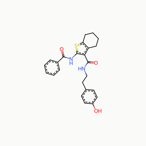 O=C(Nc1sc2c(c1C(=O)NCCc1ccc(O)cc1)CCCC2)c1ccccc1